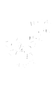 COc1ccc(-c2ccc(NC(=O)N3CCC(C(C)(C)C)CC3)cc2-c2nnn(C(c3ccccc3)(c3ccccc3)c3ccccc3)n2)cc1Cl